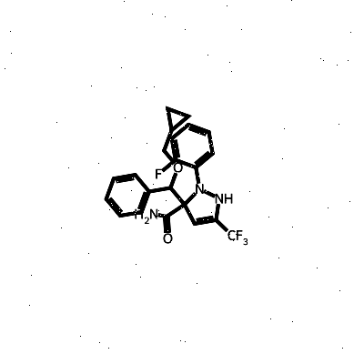 NC(=O)C1(C(OCC2CC2)c2ccccc2)C=C(C(F)(F)F)NN1c1ccccc1F